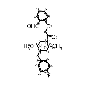 C[C@@H]1CN(C(=O)COc2ccccc2C=O)[C@@H](C)CN1Cc1ccc(F)cc1